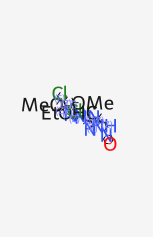 C\C=C(OC)/C(CCl)=C(C(=C\CC)\C=N\C=C/N(C)C/C(C)=C/C(=N\C)NC(/C=C\CN1CCOCC1)=C(/C)NC=O)/C(Cl)=C(\C)OC